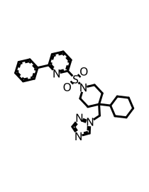 O=S(=O)(c1cccc(-c2ccccc2)n1)N1CCC(Cn2cncn2)(C2CCCCC2)CC1